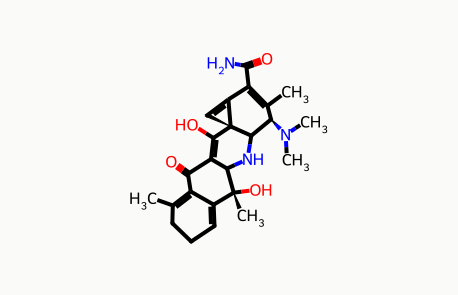 CC1=C2C(=O)C3=C(O)[C@]45C=C4C(C(N)=O)=C(C)[C@@H](N(C)C)C5NC3[C@](C)(O)C2=CCC1